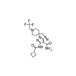 N#CCC1(n2cc(C(N)=O)c(NC(=O)C3CCC3)n2)CCN(CC(F)(F)F)CC1